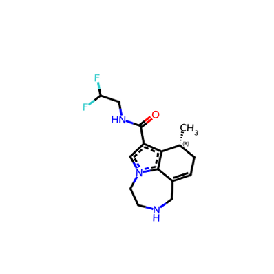 C[C@@H]1CC=C2CNCCn3cc(C(=O)NCC(F)F)c1c32